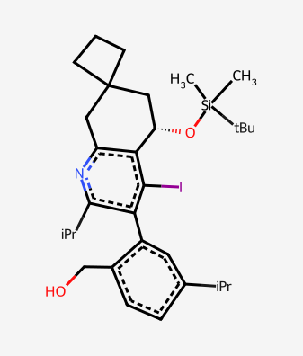 CC(C)c1ccc(CO)c(-c2c(C(C)C)nc3c(c2I)[C@@H](O[Si](C)(C)C(C)(C)C)CC2(CCC2)C3)c1